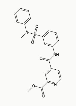 COC(=O)c1cc(C(=O)Nc2cccc(S(=O)(=O)N(C)c3ccccc3)c2)ccn1